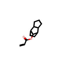 C=CC(=O)OC1C2CCC1C1CCCC12